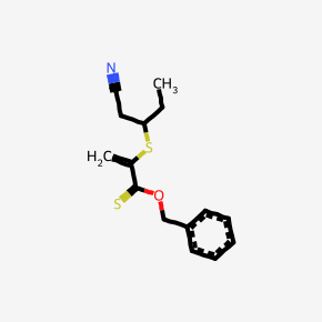 C=C(SC(CC)CC#N)C(=S)OCc1ccccc1